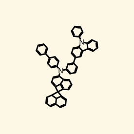 C1=CC2=CC=CC3C2C(=C1)C31c2cccc3c(N(c4ccc(-c5ccccc5)cc4)c4cccc(-c5ccc6c(c5)c5ccccc5n6-c5ccccc5)c4)ccc1c23